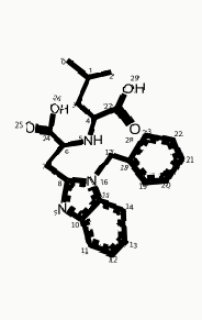 CC(C)CC(NC(Cc1nc2ccccc2n1Cc1ccccc1)C(=O)O)C(=O)O